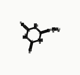 O=c1[nH]c(=O)[nH]c(=O)[nH]1.[PbH2]